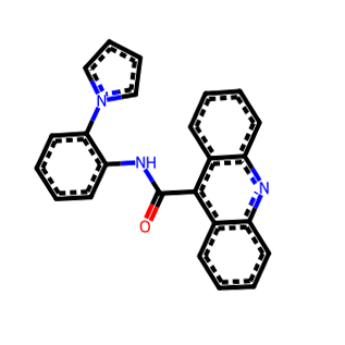 O=C(Nc1ccccc1-n1cccc1)c1c2ccccc2nc2ccccc12